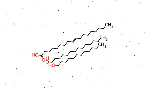 CCCCCCCCC=CCCCCCCCC(=O)O.CCCCCCCCCCCCCCO.CCCCCCCCCCCCO